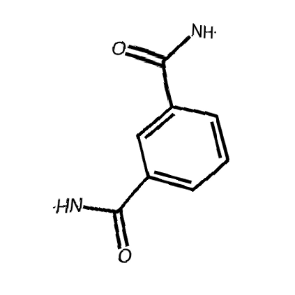 [NH]C(=O)c1cccc(C([NH])=O)c1